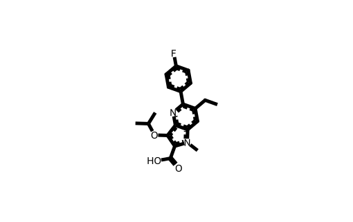 CCc1cc2c(nc1-c1ccc(F)cc1)c(OC(C)C)c(C(=O)O)n2C